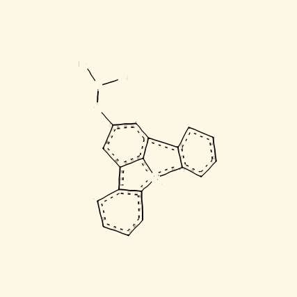 OB(O)Oc1cc2c3ccccc3n3c4ccccc4c(c1)c23